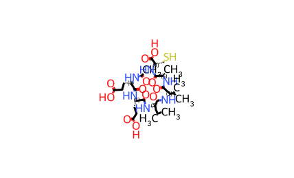 CC(=O)N[C@@H](CCC(=O)O)C(=O)N[C@@H](CCC(=O)O)C(=O)N[C@H](C(=O)N[C@H](C(=O)N[C@@H](C)C(=O)N[C@@H](CS)C(=O)O)C(C)C)C(C)C